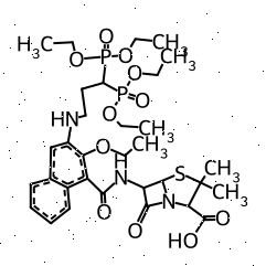 CCOc1c(NCCC(P(=O)(OCC)OCC)P(=O)(OCC)OCC)cc2ccccc2c1C(=O)NC1C(=O)N2C1SC(C)(C)C2C(=O)O